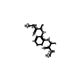 CC(OC1=C(OC(C)C(=O)NN)CCC=C1)C(=O)NN